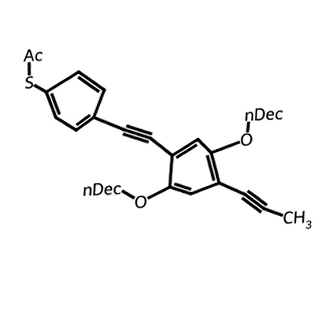 CC#Cc1cc(OCCCCCCCCCC)c(C#Cc2ccc(SC(C)=O)cc2)cc1OCCCCCCCCCC